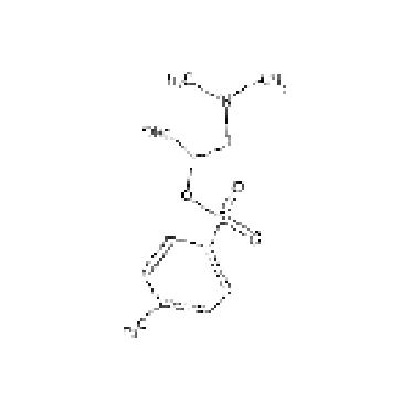 Cc1ccc(S(=O)(=O)OC(C=O)CN(C)C)cc1